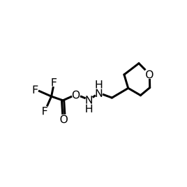 O=C(ONNCC1CCOCC1)C(F)(F)F